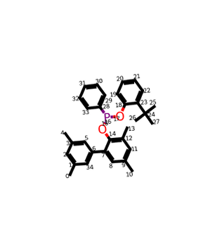 Cc1cc(C)cc(-c2cc(C)cc(C)c2OP(Oc2ccccc2C(C)(C)C)c2ccccc2)c1